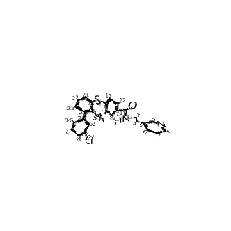 O=C(NCCc1cccnc1)c1ccc2c(c1)N=Cc1c(cccc1-c1cccc(Cl)c1)S2